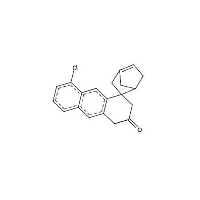 O=C1Cc2cc3cccc(Cl)c3cc2C2(C1)CC1=CCC2C1